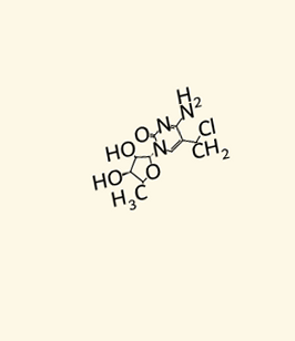 C=C(Cl)c1cn([C@@H]2O[C@H](C)[C@@H](O)[C@H]2O)c(=O)nc1N